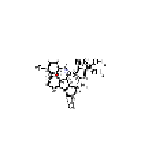 CC1=[C](/[Zr+2](=[CH]/c2ccc(F)cc2)[CH]2c3ccccc3-c3ccccc32)C(C)C=C1[Si](C)(C)C.[Cl-].[Cl-]